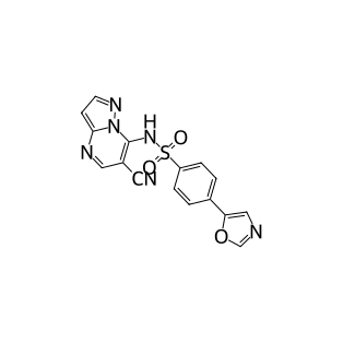 N#Cc1cnc2ccnn2c1NS(=O)(=O)c1ccc(-c2cnco2)cc1